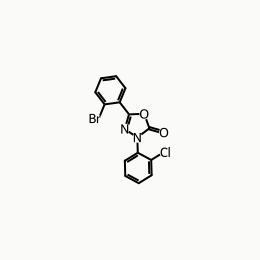 O=c1oc(-c2ccccc2Br)nn1-c1ccccc1Cl